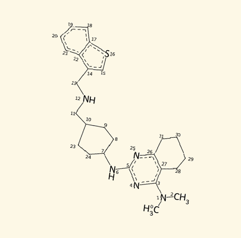 CN(C)c1nc(NC2CCC(CNCc3csc4ccccc34)CC2)nc2c1CCCC2